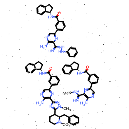 CNNC(=N)c1nc(-c2cccc(C(=O)N[C@H]3CCc4ccccc43)c2)cnc1N.Cn1nc(-c2nc(-c3cccc(C(=O)N[C@H]4CCc5ccccc54)c3)cnc2N)nc1C1CCCN(C(=O)O)C1Cc1ccccc1.N=C(NNc1ccccc1)c1nc(-c2cccc(C(=O)N[C@H]3CCc4ccccc43)c2)cnc1N